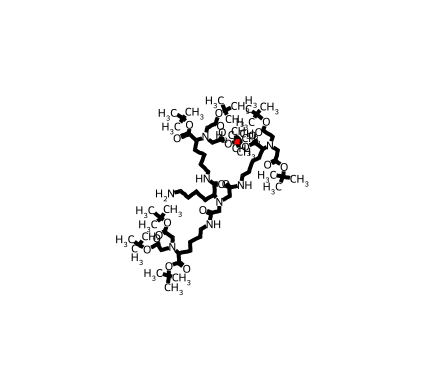 CC(C)(C)OC(=O)CN(CC(=O)OC(C)(C)C)C(CCCCNC(=O)CN(CC(=O)NCCCCC(C(=O)OC(C)(C)C)N(CC(=O)OC(C)(C)C)CC(=O)OC(C)(C)C)C(CCCCN)C(=O)NCCCCC(C(=O)OC(C)(C)C)N(CC(=O)OC(C)(C)C)CC(=O)OC(C)(C)C)C(=O)OC(C)(C)C